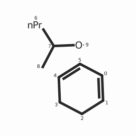 C1=CCCC=C1.CCCC(C)[O]